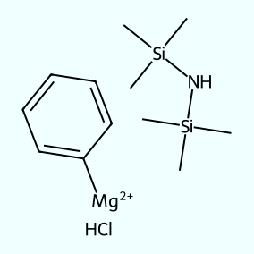 C[Si](C)(C)N[Si](C)(C)C.Cl.[Mg+2][c]1ccccc1